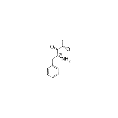 CC(=O)C(=O)[C@@H](N)Cc1ccccc1